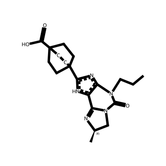 CCCN1C(=O)N2C[C@@H](C)N=C2c2[nH]c(C34CCC(C(=O)O)(CC3)CC4)nc21